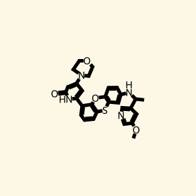 COc1cncc(C(C)Nc2ccc3c(c2)Sc2cccc(-c4cc(N5CCOCC5)cc(=O)[nH]4)c2O3)c1